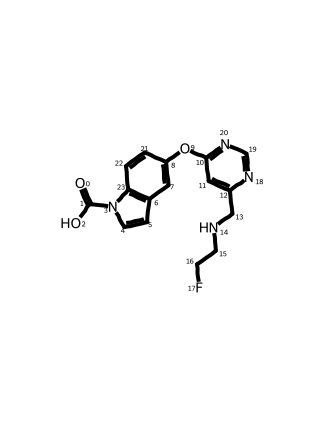 O=C(O)n1ccc2cc(Oc3cc(CNCCF)ncn3)ccc21